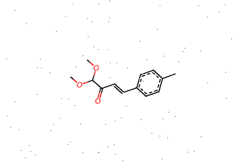 COC(OC)C(=O)/C=C/c1ccc(C)cc1